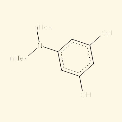 CCCCCCN(CCCCCC)c1cc(O)cc(O)c1